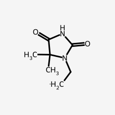 [CH2]CN1C(=O)NC(=O)C1(C)C